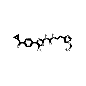 CCn1cnc(CCNC(=O)Nc2nc(C)c(-c3ccc(C(=O)C4CC4)cc3)s2)c1